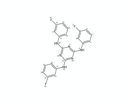 Fc1cccc(Nc2nc(Nc3cccc(F)c3)nc(Nc3cccc(F)c3)n2)c1